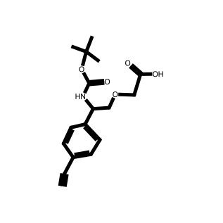 C#Cc1ccc(C(COCC(=O)O)NC(=O)OC(C)(C)C)cc1